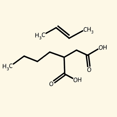 CC=CC.CCCCC(CC(=O)O)C(=O)O